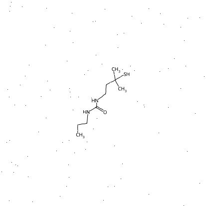 CCCNC(=O)NCCC(C)(C)S